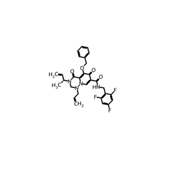 C=CCN1CN([C@@H](C)C=C)C(=O)c2c(OCc3ccccc3)c(=O)c(C(=O)NCc3c(F)cc(F)cc3F)cn21